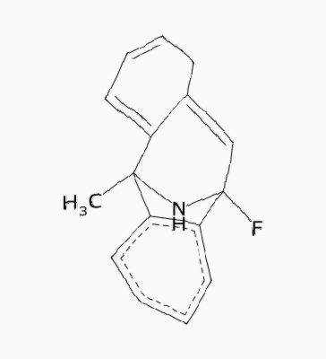 CC12NC(F)(C=C3CC=CC=C31)c1ccccc12